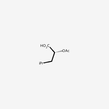 CC(=O)O[C@H](CC(C)C)C(=O)O